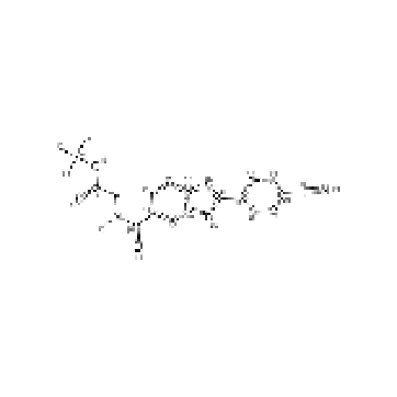 CN(CC(=O)OC(C)(C)C)C(=O)c1ccn2cc(-c3ccc(C#N)cc3)nc2c1